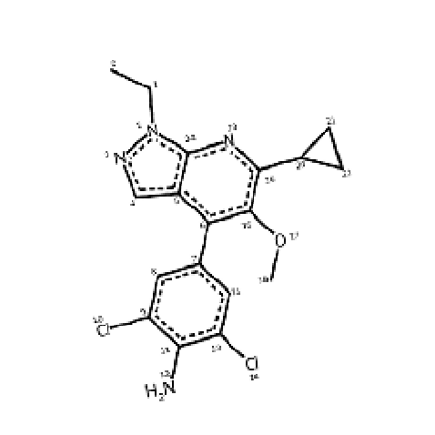 CCn1ncc2c(-c3cc(Cl)c(N)c(Cl)c3)c(OC)c(C3CC3)nc21